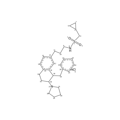 Cl.O=S(=O)(CC1CC1)NCCCc1ccc2c(c1)C(Cc1ccccc1)C(N1CCCC1)CC2